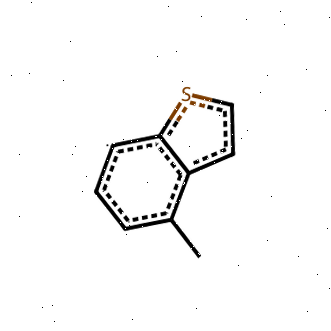 Cc1cc[c]c2sccc12